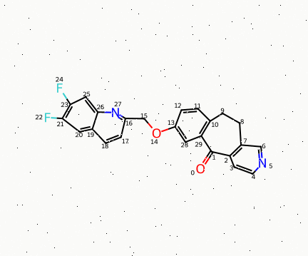 O=C1c2ccncc2CCc2ccc(OCc3ccc4cc(F)c(F)cc4n3)cc21